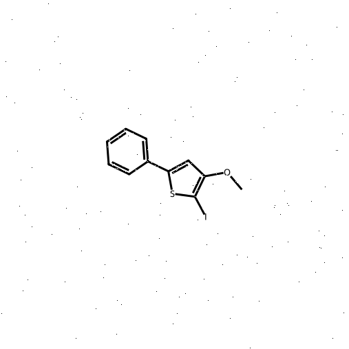 COc1cc(-c2ccccc2)sc1I